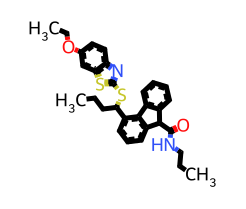 CCCNC(=O)C1c2ccccc2-c2c(C(CCC)Sc3nc4ccc(OCC)cc4s3)cccc21